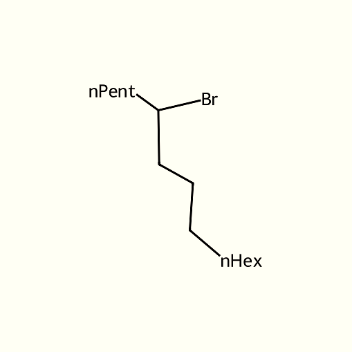 CCCCCCCCCC(Br)CCCCC